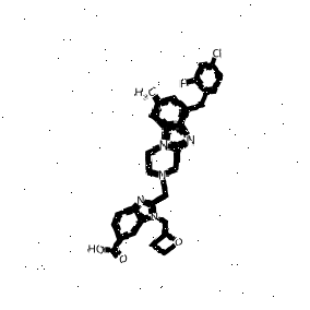 Cc1cc(Cc2ccc(Cl)cc2F)c2nc3n(c2c1)CCN(Cc1nc2ccc(C(=O)O)cc2n1CC1CCO1)C3